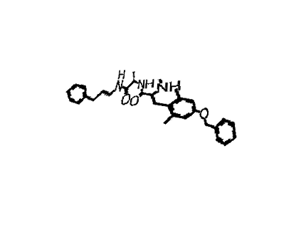 CNC(Cc1c(C)cc(OCc2ccccc2)cc1C)C(=O)N[C@H](C)C(=O)NCCCc1ccccc1